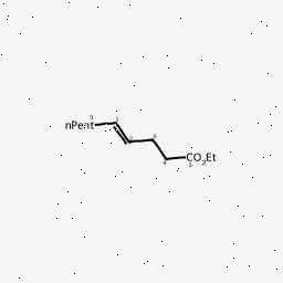 CCCCCC=CCCC(=O)OCC